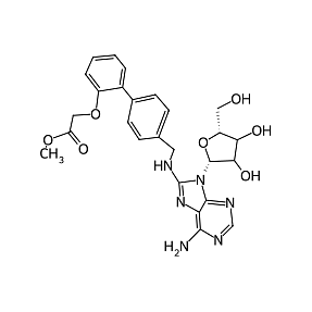 COC(=O)COc1ccccc1-c1ccc(CNc2nc3c(N)ncnc3n2[C@@H]2O[C@H](CO)C(O)C2O)cc1